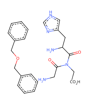 NCC(=O)N(CC(=O)O)C(=O)C(N)Cc1c[nH]cn1.c1ccc(COCc2ccccc2)cc1